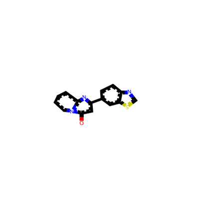 O=c1cc(-c2ccc3ncsc3c2)nc2ccccn12